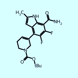 Cc1cc2c(C3=CCCN(C(=O)OC(C)(C)C)C3)c(F)c(F)c(C(N)=O)c2[nH]1